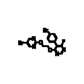 Fc1ncnc(OCCOc2ncc(Br)cn2)c1-c1ccc(Br)cc1